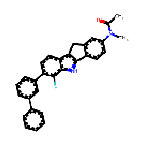 CC(=O)N(C)c1ccc2c(c1)Cc1c-2[nH]c2c(F)c(-c3cccc(-c4ccccc4)c3)ccc12